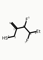 C=C(CS)C(F)C(F)CC